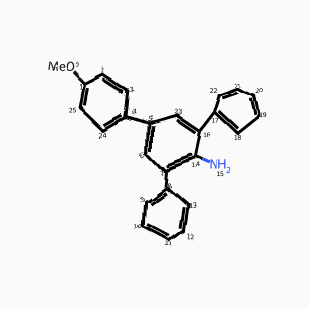 COc1ccc(-c2cc(-c3ccccc3)c(N)c(-c3ccccc3)c2)cc1